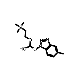 Cc1ccc2c(c1)nnn2OC(O)OCC[Si](C)(C)C